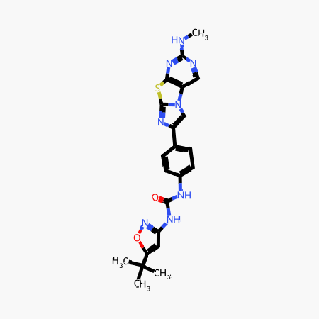 CNc1ncc2c(n1)sc1nc(-c3ccc(NC(=O)Nc4cc(C(C)(C)C)on4)cc3)cn12